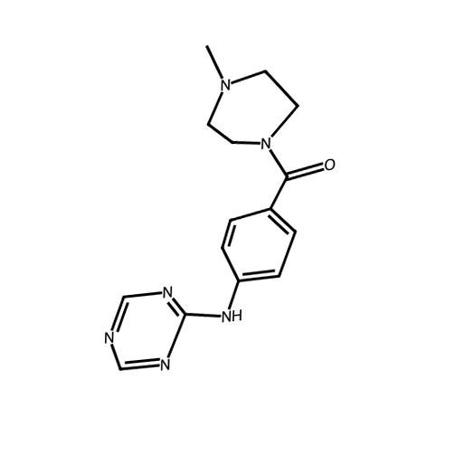 CN1CCN(C(=O)c2ccc(Nc3ncncn3)cc2)CC1